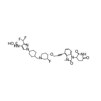 Cn1c(=O)n(C2CCC(=O)NC2=O)c2cccc(C#CCO[C@H]3CCN(CC4CCC(n5cc(NC(=O)O)c(C(F)F)n5)CC4)C[C@@H]3F)c21